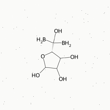 BC(B)(O)[C@H]1OC(O)C(O)C1O